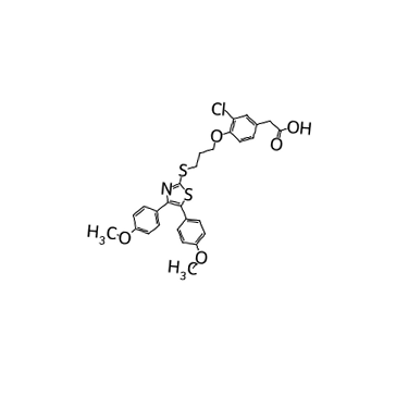 COc1ccc(-c2nc(SCCCOc3ccc(CC(=O)O)cc3Cl)sc2-c2ccc(OC)cc2)cc1